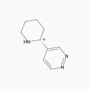 c1cc([C@H]2CCCCN2)cnn1